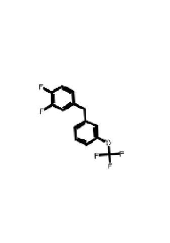 Fc1ccc(Cc2cc[c]c(OC(F)(F)F)c2)cc1F